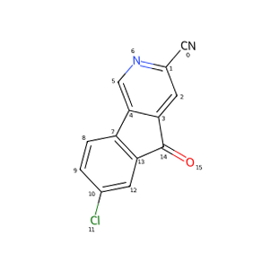 N#Cc1cc2c(cn1)-c1ccc(Cl)cc1C2=O